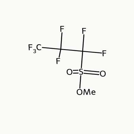 COS(=O)(=O)C(F)(F)C(F)(F)C(F)(F)F